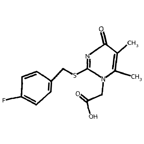 Cc1c(C)n(CC(=O)O)c(SCc2ccc(F)cc2)nc1=O